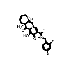 C[C@@]12CC=CCO[C@@H]1Cn1cc(C(=O)NCc3ccc(F)cc3F)c(=O)c(O)c1C2=O